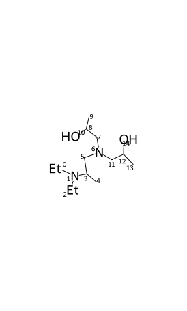 CCN(CC)C(C)CN(CC(C)O)CC(C)O